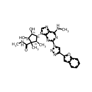 CNC(=O)C1(C)[C@H](C)[C@@H](n2cnc3c(NC)nc(-n4cc(-c5cc6ccccc6o5)nn4)nc32)[C@H](O)[C@@H]1O